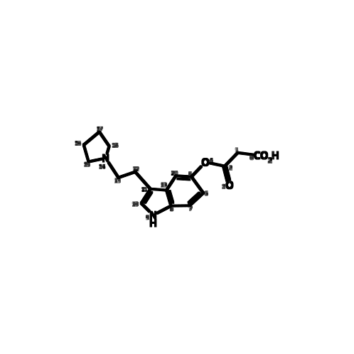 O=C(O)CC(=O)Oc1ccc2[nH]cc(CCN3CCCC3)c2c1